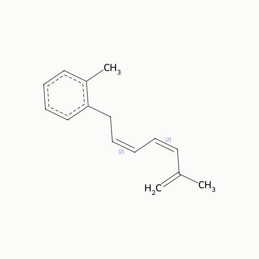 C=C(C)/C=C\C=C/Cc1ccccc1C